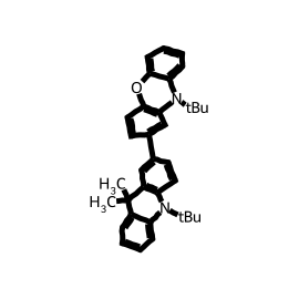 CC1(C)c2ccccc2N(C(C)(C)C)c2ccc(-c3ccc4c(c3)N(C(C)(C)C)c3ccccc3O4)cc21